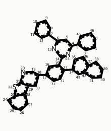 c1ccc(-c2cc(-c3ccccc3)nc(-c3cc(-c4cnc5sc6ccccc6c5c4)ccc3-c3ccc4ccccc4c3)n2)cc1